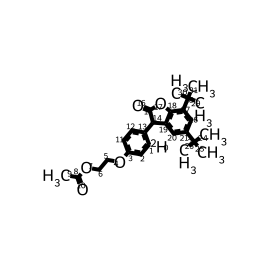 [2H]c1cc(OCCOC(C)=O)ccc1C1C(=O)Oc2c1cc(C(C)(C)C)cc2C(C)(C)C